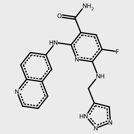 NC(=O)c1cc(F)c(NCc2cnn[nH]2)nc1Nc1ccc2ncccc2c1